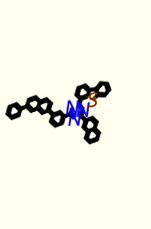 c1ccc(-c2ccc3ccc(-c4cccc(-c5nc(-c6ccc7ccccc7c6)nc(-c6cccc7c6sc6ccccc67)n5)c4)cc3c2)cc1